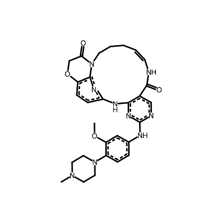 COc1cc(Nc2ncc3c(n2)Nc2ccc4c(n2)N(CCC/C=C\NC3=O)C(=O)CO4)ccc1N1CCN(C)CC1